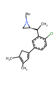 CCC(C)N1C[C@@H]1C(C)c1cc(C2=CC(C)=C(C)C2)ccc1Cl